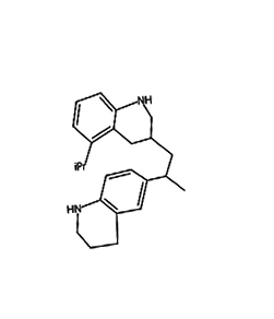 CC(C)c1cccc2c1CC(CC(C)c1ccc3c(c1)CCCN3)CN2